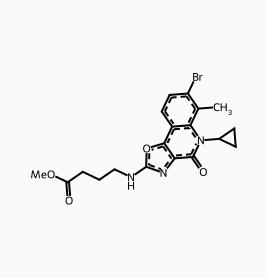 COC(=O)CCCNc1nc2c(=O)n(C3CC3)c3c(C)c(Br)ccc3c2o1